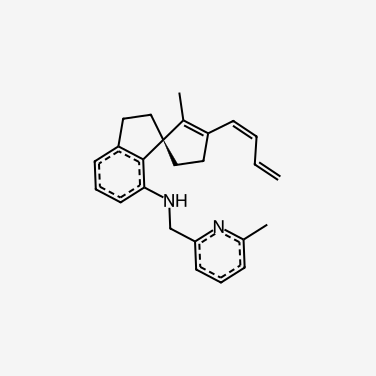 C=C/C=C\C1=C(C)[C@@]2(CC1)CCc1cccc(NCc3cccc(C)n3)c12